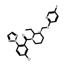 CCC1[C@@H](COc2ccc(F)cn2)CCCN1C(=O)c1cc(Cl)ccc1-n1nccn1